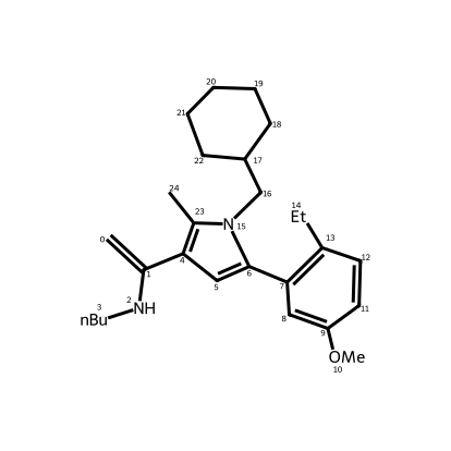 C=C(NCCCC)c1cc(-c2cc(OC)ccc2CC)n(CC2CCCCC2)c1C